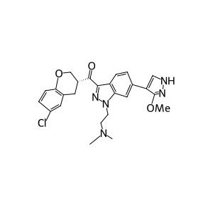 COc1n[nH]cc1-c1ccc2c(C(=O)[C@H]3COc4ccc(Cl)cc4C3)nn(CCN(C)C)c2c1